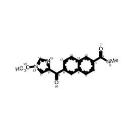 CNC(=O)c1ccc2cc(C(=O)c3cn(C(=O)O)cn3)ccc2c1